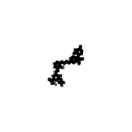 Cn1c(=O)n(C2CCC(=O)NC2=O)c2ccc(CCCCc3cccc(OC[C@H](CCC(N)=O)NC(=O)OC(C)(C)C)c3Cl)cc21